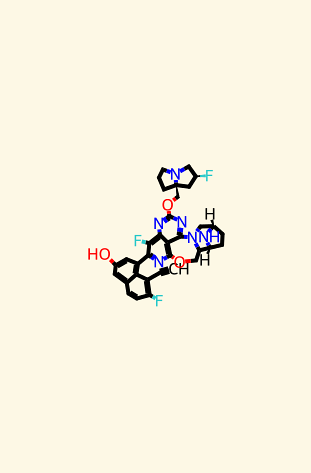 C#Cc1c(F)ccc2cc(O)cc(-c3nc4c5c(nc(OC[C@@]67CCCN6C[C@@H](F)C7)nc5c3F)N3C[C@@H]5CC[C@@H](N5)C3CO4)c12